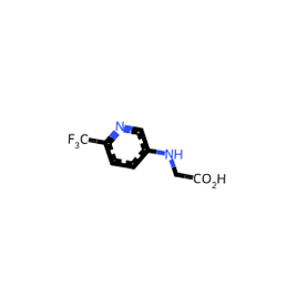 O=C(O)CNc1ccc(C(F)(F)F)nc1